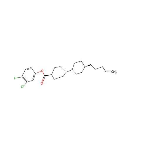 C=CCCC[C@H]1CC[C@H]([C@H]2CC[C@H](C(=O)Oc3ccc(F)c(Cl)c3)CC2)CC1